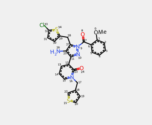 COc1ccccc1C(=O)n1nc(-c2cccn(Cc3ccsc3)c2=O)c(N)c1Cc1ccc(Cl)s1